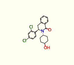 O=C1c2ccccc2C[C@H](c2ccc(Cl)cc2Cl)N1[C@H]1CC[C@H](O)CC1